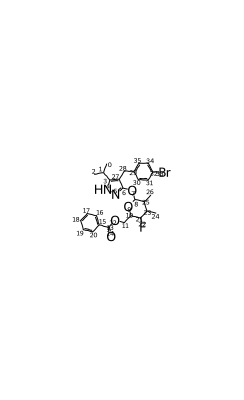 CC(C)c1[nH]nc(OC2OC(COC(=O)c3ccccc3)C(F)C(C)C2C)c1Cc1ccc(Br)cc1